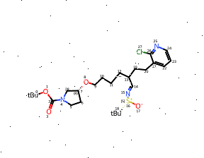 CC(C)(C)OC(=O)N1CC[C@@H](OCCCCC(C=N[S@+]([O-])C(C)(C)C)CCc2cccnc2Cl)C1